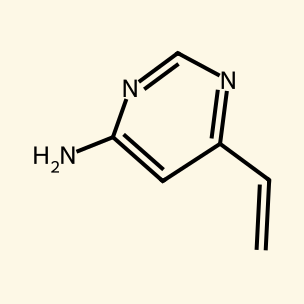 C=Cc1cc(N)ncn1